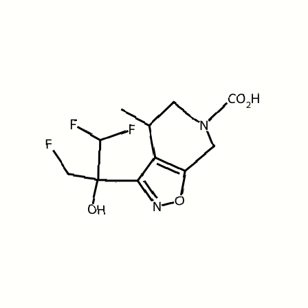 CC1CN(C(=O)O)Cc2onc(C(O)(CF)C(F)F)c21